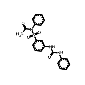 NC(=O)N(c1ccccc1)S(=O)(=O)c1cccc(NC(=O)Nc2ccccc2)c1